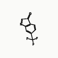 O=C1C=Nc2cc(C(F)(F)F)ccc21